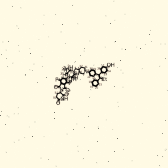 [2H]C1([2H])N(CC2CCN(c3ccc(C(=C(CC)c4ccccc4)c4ccc(O)cc4)cc3)CC2)C([2H])([2H])C([2H])([2H])N(c2cc(F)c3c(c2F)C(=O)N(C2CCC(=O)NC2=O)C3=O)C1([2H])[2H]